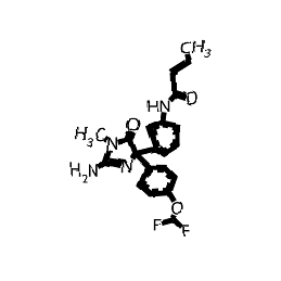 C/C=C/C(=O)Nc1cccc(C2(c3ccc(OC(F)F)cc3)N=C(N)N(C)C2=O)c1